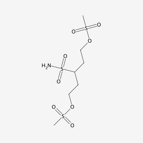 CS(=O)(=O)OCCC(CCOS(C)(=O)=O)S(N)(=O)=O